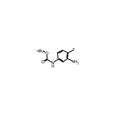 CCCCOC(=O)Nc1ccc(F)c(N)c1